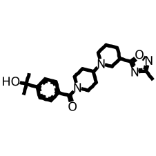 Cc1noc(C2CCCN(C3CCN(C(=O)c4ccc(C(C)(C)O)cc4)CC3)C2)n1